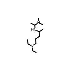 CCN(CC)CCCC(C)NC(C)N(C)C